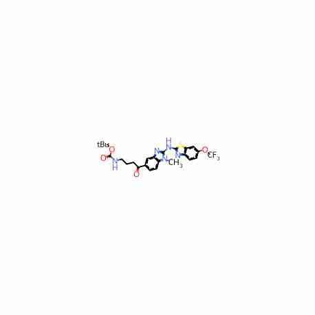 Cn1c(Nc2nc3ccc(OC(F)(F)F)cc3s2)nc2cc(C(=O)CCCNC(=O)OC(C)(C)C)ccc21